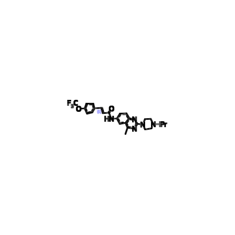 Cc1nc(N2CCN(C(C)C)CC2)nc2ccc(NC(=O)/C=C/c3ccc(OC(F)(F)F)cc3)cc12